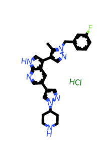 Cc1c(-c2c[nH]c3ncc(-c4cnn(C5CCNCC5)c4)cc23)cnn1Cc1cccc(F)c1.Cl